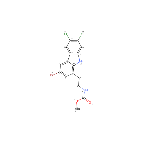 CC(C)(C)OC(=O)NCCc1cc(Br)cc2c1[nH]c1cc(Cl)c(Cl)cc12